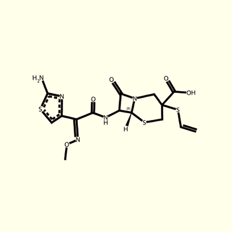 C=CSC1(C(=O)O)CS[C@@H]2C(NC(=O)C(=NOC)c3csc(N)n3)C(=O)N2C1